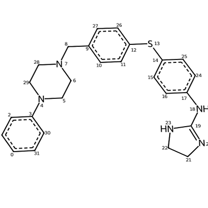 c1ccc(N2CCN(Cc3ccc(Sc4ccc(NC5=NCCN5)cc4)cc3)CC2)cc1